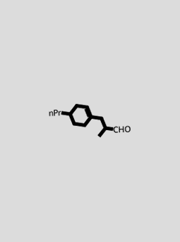 CCCC1CC=C(CC(C)C=O)CC1